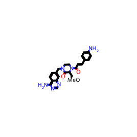 COCC1C(=O)N(Cc2ccc3c(N)ncnc3c2)CCN1C(=O)/C=C/c1ccc(N)cc1